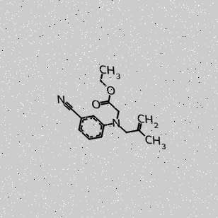 C=C(C)CN(CC(=O)OCC)c1cccc(C#N)c1